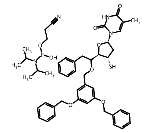 CC(C)N(C(C)C)P(O)OCCC#N.Cc1cn([C@H]2C[C@H](S)[C@@H](C(Cc3ccccc3)OCc3cc(OCc4ccccc4)cc(OCc4ccccc4)c3)O2)c(=O)[nH]c1=O